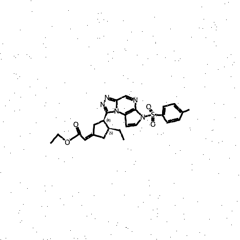 CCOC(=O)C=C1C[C@H](CC)[C@H](c2nnc3cnc4c(ccn4S(=O)(=O)c4ccc(C)cc4)n23)C1